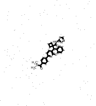 CN(C)C(=O)c1ccc(-c2ccc3c(n2)Oc2ccccc2C3C2(C(=O)Nc3nncs3)CCC2)cc1